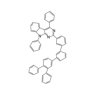 c1ccc(-c2ccc(-c3cccc(-c4cccc(-c5nc(-c6ccccc6)c6c7ccccc7n(-c7ccccc7)c6n5)c4)c3)cc2-c2ccccc2)cc1